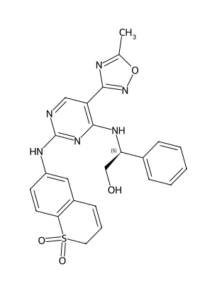 Cc1nc(-c2cnc(Nc3ccc4c(c3)C=CCS4(=O)=O)nc2N[C@H](CO)c2ccccc2)no1